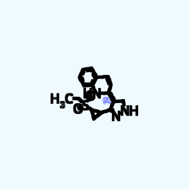 CCS(=O)(=O)C1CC1C1=NNC/C1=C1\C=Cc2ccccc2N1